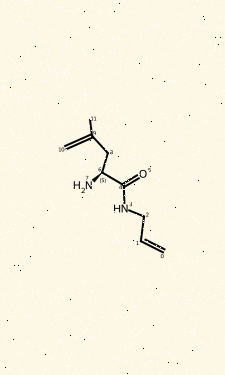 C=CCNC(=O)[C@@H](N)CC(=C)C